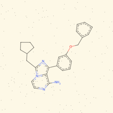 Nc1nccn2c(CC3CCCC3)nc(-c3cccc(OCc4ccccc4)c3)c12